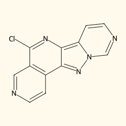 Clc1nc2c(nn3cnccc23)c2ccncc12